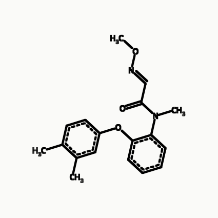 CON=CC(=O)N(C)c1ccccc1Oc1ccc(C)c(C)c1